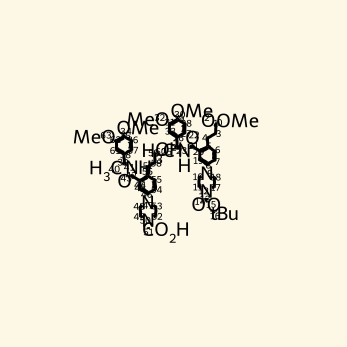 COC(=O)CCc1ccc(N2CCN(C(=O)OC(C)(C)C)CC2)cc1C(=O)NC(C)c1ccc(OC)c(OC)c1.COc1ccc(C(C)NC(=O)c2cc(N3CCN(C(=O)O)CC3)ccc2CCCO)cc1OC